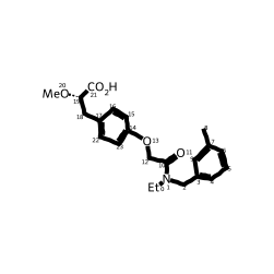 CCN(Cc1cccc(C)c1)C(=O)COc1ccc(C[C@H](OC)C(=O)O)cc1